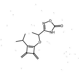 C=C1C(=C)C(C(C)C)=C1OC(C)c1noc(=O)[nH]1